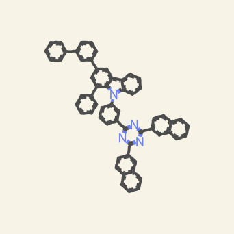 c1ccc(-c2cccc(-c3cc(-c4ccccc4)c4c(c3)c3ccccc3n4-c3cccc(-c4nc(-c5ccc6ccccc6c5)nc(-c5ccc6ccccc6c5)n4)c3)c2)cc1